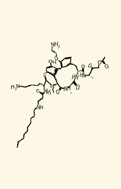 CCCCCCCCCCNCCC(=O)N[C@@H](CCCCN)C(=O)N(C)[C@@H]1C(=O)N[C@@H](C)C(=O)N[C@H](C(=O)N[C@@H](C)C(=O)COC(C)=O)Cc2ccc(OCCN)c(c2)-c2cc1ccc2O